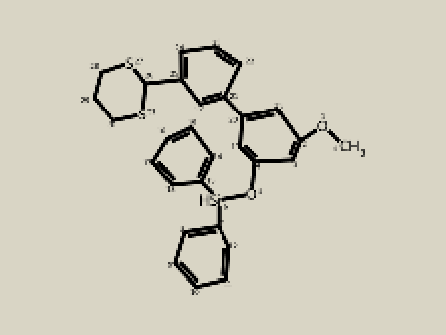 COc1cc(O[SiH](c2ccccc2)c2ccccc2)cc(-c2cccc(C3SCCCS3)c2)c1